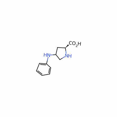 O=C(O)[C@@H]1CC(Nc2ccccc2)CN1